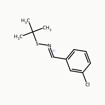 CC(C)(C)S/N=C/c1cccc(Cl)c1